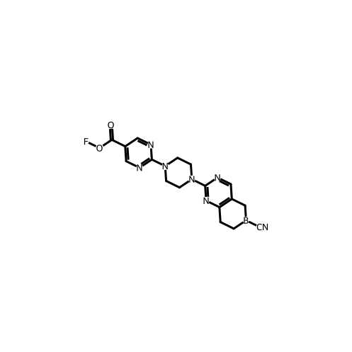 N#CB1CCc2nc(N3CCN(c4ncc(C(=O)OF)cn4)CC3)ncc2C1